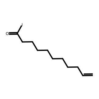 C=CCCCCCCCCC(=O)I